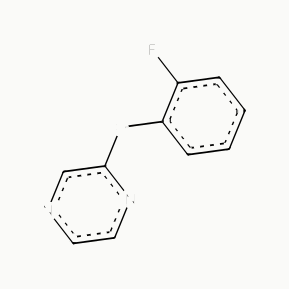 Fc1ccccc1Oc1cn[c]cn1